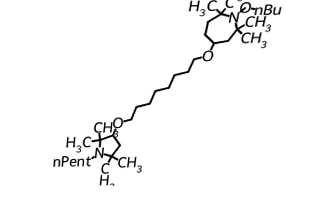 CCCCCN1C(C)(C)CC(OCCCCCCCCOC2CCC(C)(C)N(OCCCC)C(C)(C)C2)C1(C)C